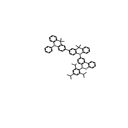 CC(C)c1cc(C(C)C)c(B2Sc3ccccc3-c3cc(N4c5ccccc5C(C)(C)c5cc(-c6ccc7c(c6)C(C)(C)c6ccccc6N7c6ccccc6)ccc54)ccc32)c(C(C)C)c1